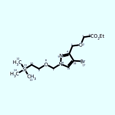 CCOC(=O)COCc1nn(COCC[Si](C)(C)C)cc1Br